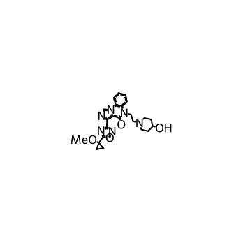 COC1(c2nc(-c3ncn4c3c(=O)n(CCN3CCC(O)CC3)c3ccccc34)no2)CC1